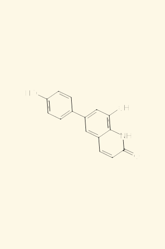 Cc1cc(-c2ccc(O)cc2)cc2ccc(=O)[nH]c12